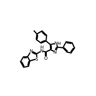 Cc1ccc(-c2[nH]c(-c3ccccc3)nc2C(=O)Nc2nc3ccccc3s2)cc1